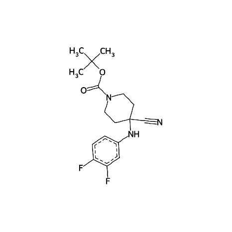 CC(C)(C)OC(=O)N1CCC(C#N)(Nc2ccc(F)c(F)c2)CC1